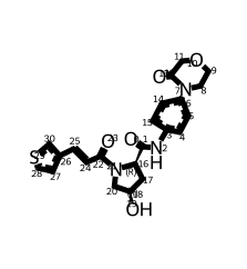 O=C(Nc1ccc(N2CCOCC2=O)cc1)[C@H]1C[C@@H](O)CN1C(=O)C=Cc1ccsc1